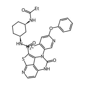 CCC(=O)N[C@@H]1CCC[C@H](NC(=O)c2sc3nccc4c3c2N(c2cnc(Oc3ccccc3)cc2C)C(=O)N4)C1